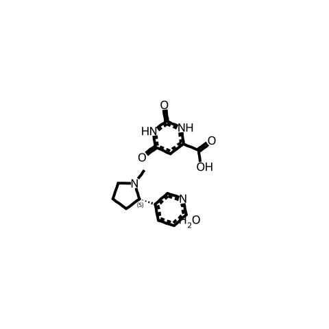 CN1CCC[C@H]1c1cccnc1.O.O=C(O)c1cc(=O)[nH]c(=O)[nH]1